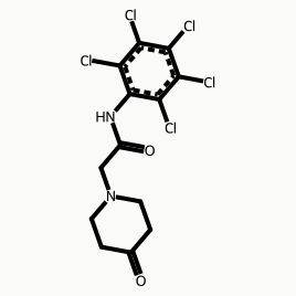 O=C1CCN(CC(=O)Nc2c(Cl)c(Cl)c(Cl)c(Cl)c2Cl)CC1